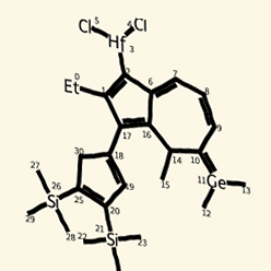 CCC1=[C]([Hf]([Cl])[Cl])C2=CC=C[C](=[Ge]([CH3])[CH3])C(C)C2=C1C1=CC([Si](C)(C)C)=C([Si](C)(C)C)C1